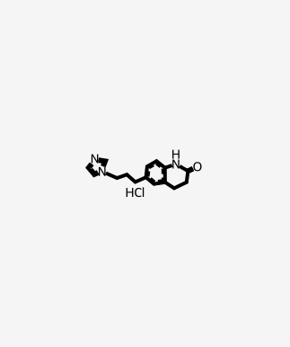 Cl.O=C1CCc2cc(CCCn3ccnc3)ccc2N1